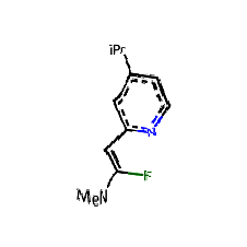 CN/C(F)=C/c1cc(C(C)C)ccn1